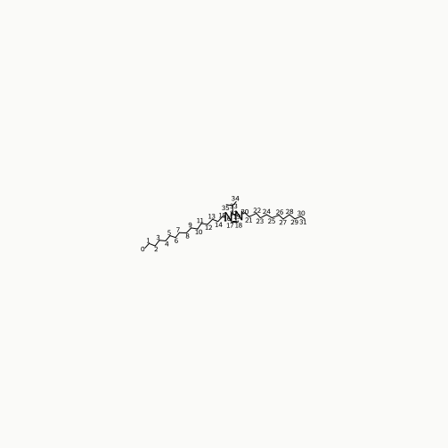 CCCCCCCCCCCCCCCCN1C=CN(CCCCCCCCCCCC)C1C(C)C